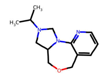 CC(C)N1CC2COCc3cccnc3N2C1